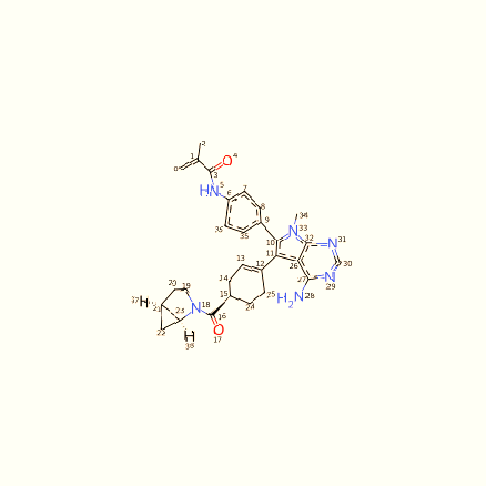 C=C(C)C(=O)Nc1ccc(-c2c(C3=CC[C@H](C(=O)N4CC[C@@H]5C[C@@H]54)CC3)c3c(N)ncnc3n2C)cc1